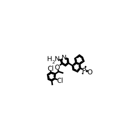 Cc1ccc(Cl)c(C(C)Oc2cc(-c3ccc(P(C)(C)=O)c4ccccc34)cnc2N)c1Cl